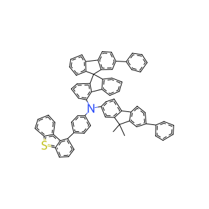 CC1(C)c2cc(-c3ccccc3)ccc2-c2ccc(N(c3ccc(-c4cccc5sc6ccccc6c45)cc3)c3cccc4c3-c3ccccc3C43c4ccccc4-c4ccc(-c5ccccc5)cc43)cc21